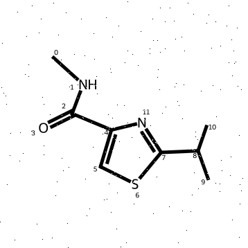 CNC(=O)c1csc(C(C)C)n1